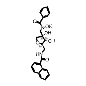 O=C(NC[C@H]1OC[C@@](O)(CN(O)C(=O)c2ccccc2)[C@@H]1O)c1cccc2ccccc12